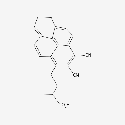 CC(CCc1c(C#N)c(C#N)c2ccc3cccc4ccc1c2c34)C(=O)O